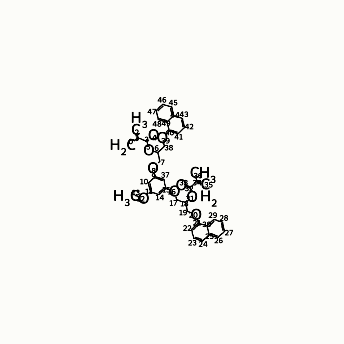 C=C(C)C(=O)OC(COc1cc(OC)cc(OCC(COc2cccc3ccccc23)OC(=O)C(=C)C)c1)COc1cccc2ccccc12